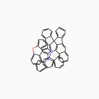 c1ccc(N(c2ccccc2)c2ccc3c(c2)C2(c4ccccc4-3)c3ccccc3-c3cc4ccccc4c(N(c4ccccc4)c4cccc5oc6ccccc6c45)c32)cc1